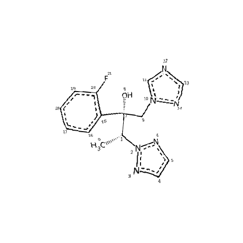 C[C@@H](n1nccn1)[C@](O)(Cn1cncn1)c1ccccc1F